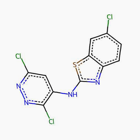 Clc1ccc2nc(Nc3cc(Cl)nnc3Cl)sc2c1